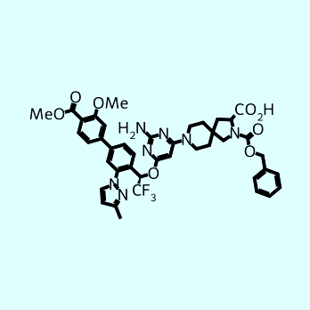 COC(=O)c1ccc(-c2ccc([C@@H](Oc3cc(N4CCC5(CC4)CC(C(=O)O)N(C(=O)OCc4ccccc4)C5)nc(N)n3)C(F)(F)F)c(-n3ccc(C)n3)c2)cc1OC